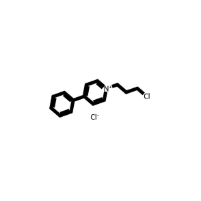 ClCCC[n+]1ccc(-c2ccccc2)cc1.[Cl-]